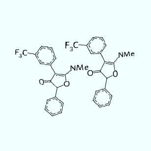 CNC1=C(c2cccc(C(F)(F)F)c2)C(=O)C(c2ccccc2)O1.CNC1=C(c2cccc(C(F)(F)F)c2)C(=O)C(c2ccccc2)O1